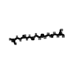 CN(C)CCSCCOCCOCCSCCN(C)C